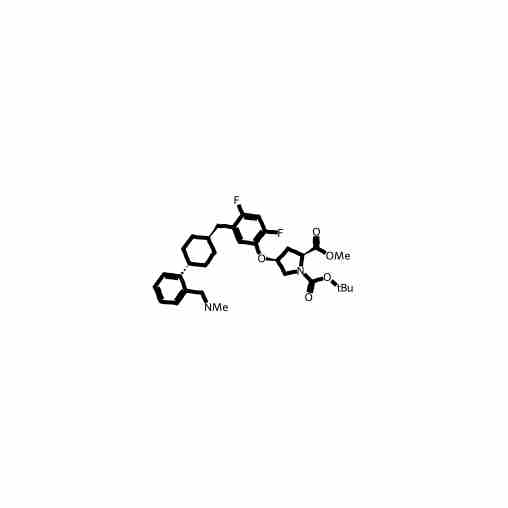 CNCc1ccccc1[C@H]1CC[C@H](Cc2cc(O[C@H]3C[C@@H](C(=O)OC)N(C(=O)OC(C)(C)C)C3)c(F)cc2F)CC1